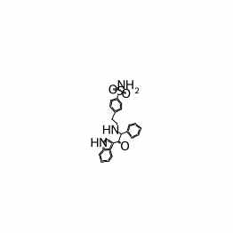 NS(=O)(=O)c1ccc(CCNC(C(=O)c2c[nH]c3ccccc23)c2ccccc2)cc1